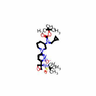 CC(C)(C)OC(=O)N(CC1CC1)[C@@H]1CCCN(c2ccc(C3(N[S+]([O-])C(C)(C)C)COC3)[n+]([O-])n2)C1